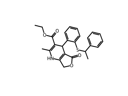 CCOC(=O)C1=C(C)NC2=C(C(=O)OC2)C1c1ccccc1SC(C)c1ccccc1